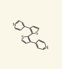 c1cc(-c2ccsc2-c2sccc2-c2ccncc2)ccn1